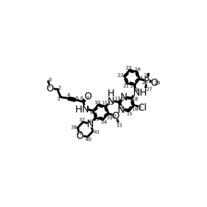 COCCC#CC(=O)Nc1cc(Nc2ncc(Cl)c(Nc3ccccc3P(C)(C)=O)n2)c(OC)cc1N1CCOCC1